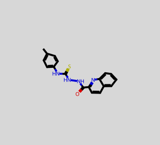 Cc1ccc(NC(=S)NNC(=O)c2ccc3ccccc3n2)cc1